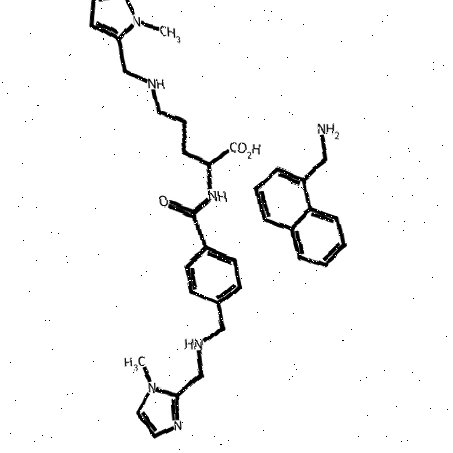 Cn1cccc1CNCCCC(NC(=O)c1ccc(CNCc2nccn2C)cc1)C(=O)O.NCc1cccc2ccccc12